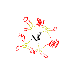 O=[S](=O)(O)[V]([S](=O)(=O)O)([S](=O)(=O)O)[S](=O)(=O)O